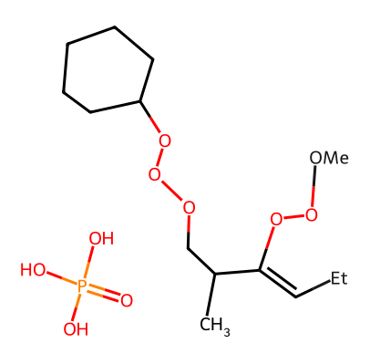 CCC=C(OOOC)C(C)COOOC1CCCCC1.O=P(O)(O)O